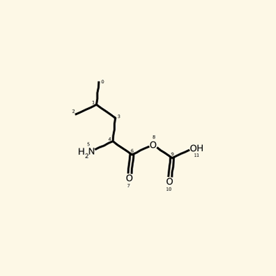 CC(C)CC(N)C(=O)OC(=O)O